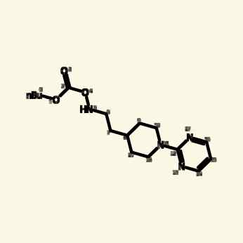 CCCCOC(=O)ONCCC1CCN(c2ncccn2)CC1